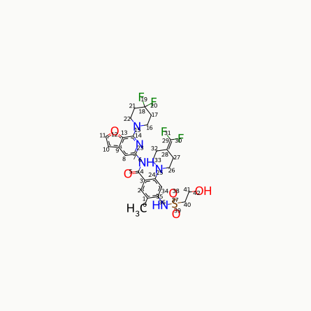 Cc1cc(C(=O)Nc2cc3ccoc3c(N3CCC(F)(F)CC3)n2)c(N2CCC(=C(F)F)CC2)cc1NS(=O)(=O)CCO